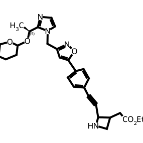 CCOC(=O)CC1CNC1C#Cc1ccc(-c2cc(Cn3ccnc3[C@H](C)OC3CCCCO3)no2)cc1